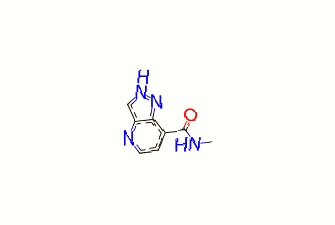 CNC(=O)c1ccnc2c[nH]nc12